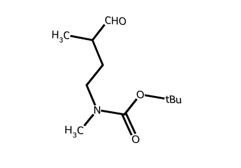 CC(C=O)CCN(C)C(=O)OC(C)(C)C